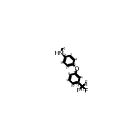 CNc1ccc(Oc2cccc(C(F)(F)F)c2)cc1